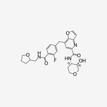 O=C(N[C@H]1CCOC[C@@H]1O)c1cc(Cc2ccc(C(=O)NCC3CCCO3)c(F)c2)c2occc2n1